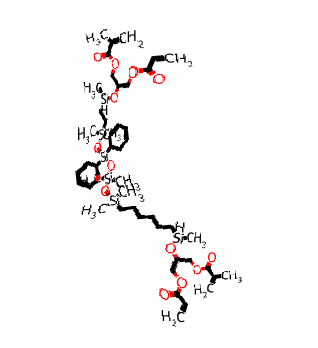 C=CC(=O)OCC(COC(=O)C(=C)C)O[SiH](C)CCCCCC[Si](C)(C)O[Si](C)(C)O[Si](O[Si](C)(C)CC[SiH](C)OC(COC(=O)C=C)COC(=O)C(=C)C)(C1C=CC=CC1)C1C=CC=CC1